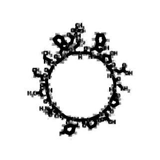 CCCC[C@H]1C(=O)N(C)[C@@H](CCCC)C(=O)N[C@@H](CC(C)C)C(=O)N[C@H](C(N)=O)C(C)(C)SCC(=O)N[C@@H](Cc2ccc(F)cc2)C(=O)N2CCCC[C@H]2C(=O)N[C@@H](CC(=O)O)C(=O)N2CCC[C@H]2C(=O)N[C@@H](CN)C(=O)N[C@@H](CCC(=O)O)C(=O)N2C[C@H](O)C[C@H]2C(=O)N[C@@H](Cc2c[nH]c3ccccc23)C(=O)N[C@@H](CCN)C(=O)N[C@@H](Cc2cn(CC(=O)NS(C)(=O)=O)c3ccccc23)C(=O)N1C